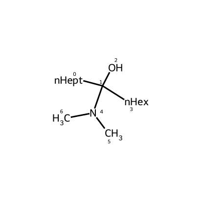 CCCCCCCC(O)(CCCCCC)N(C)C